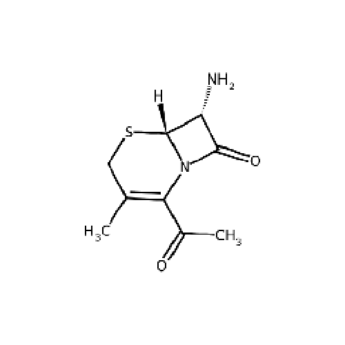 CC(=O)C1=C(C)CS[C@@H]2[C@H](N)C(=O)N12